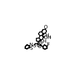 CC12CCC(=O)C=C1CCC1C2[C@@H](O)CC2(C)C1CC[C@]2(OC(=O)c1cccc(F)c1)C(=O)CSc1nc2ccccc2s1